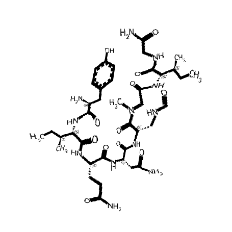 CC[C@H](C)[C@H](NC(=O)CN(C)C(=O)[C@H](CNC=O)NC(=O)[C@H](CC(N)=O)NC(=O)[C@H](CCC(N)=O)NC(=O)[C@@H](NC(=O)[C@@H](N)Cc1ccc(O)cc1)[C@@H](C)CC)C(=O)NCC(N)=O